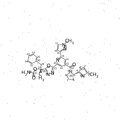 Cc1csc([C@H]2CCCN2C(=O)c2cc(-c3ccn(C)n3)nc(-c3nnc([C@@](C)(Cc4ccccc4)OC(N)=O)o3)c2)n1